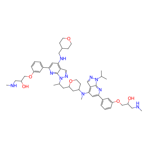 CNCC(O)COc1cccc(-c2cc(N(C)C3CCOC(CC(C)n4ncc5c(NCC6CCOCC6)cc(-c6cccc(OCC(O)CNC)c6)nc54)C3)c3cnn(C(C)C)c3n2)c1